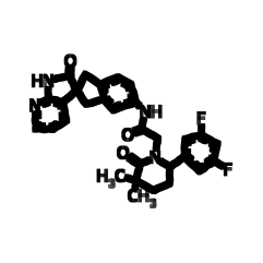 CC1(C)CCC(c2cc(F)cc(F)c2)N(CC(=O)Nc2ccc3c(c2)CC2(C3)C(=O)Nc3ncccc32)C1=O